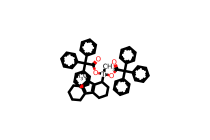 CC1C2=C(CCCC2)C2=C1[CH]([Ti]([CH3])([O]C(=O)C(c1ccccc1)(c1ccccc1)c1ccccc1)[O]C(=O)C(c1ccccc1)(c1ccccc1)c1ccccc1)CCC2